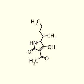 CCCC(C)C1NC(=O)C(C(C)=O)=C1O